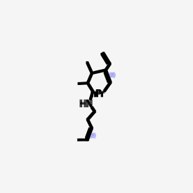 C=C/C(=C/CCC)C(C)C(C)CNCC/C=C\C